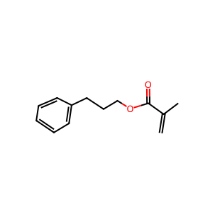 C=C(C)C(=O)OCCCc1ccccc1